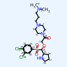 CN(C)CCCN1CCN(C(=O)COC(C2CCCN2)S(=O)(=O)c2ccc(Cl)c(Cl)c2)CC1